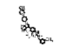 Cc1cccc(CNC(=O)Nc2ccc(-c3cn(C4CCC(N5CCN(C)CC5)CC4)c4ncnc(N)c34)cc2F)c1